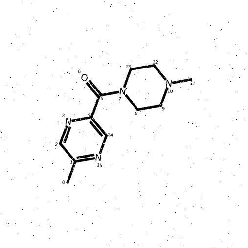 Cc1cnc(C(=O)N2CCN(C)CC2)cn1